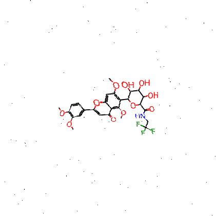 COc1ccc(-c2cc(=O)c3c(OC)c(C4OC(C(=O)NCC(F)(F)F)C(O)C(O)C4O)c(OC)cc3o2)cc1OC